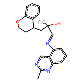 Cc1ncc2c(N=CC(O)(CC3CCOc4ccccc43)C(F)(F)F)cccc2n1